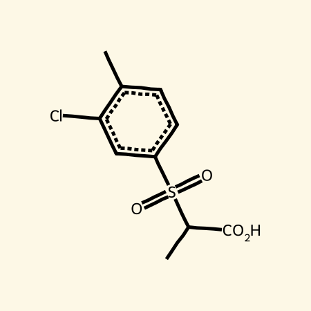 Cc1ccc(S(=O)(=O)C(C)C(=O)O)cc1Cl